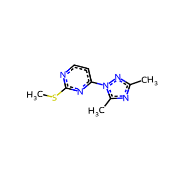 CSc1nccc(-n2nc(C)nc2C)n1